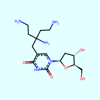 NCCC(N)(CCN)Cc1cn([C@H]2C[C@H](O)[C@@H](CO)O2)c(=O)[nH]c1=O